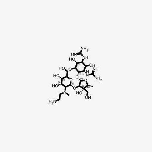 C[C@@H]1O[C@@H](O[C@@H]2C(O)[C@@H](O)C(NC(=N)N)C(O)[C@@H]2NC(=N)N)C(O[C@@H]2OC(CO)[C@H](O)[C@H](O)C2N(C)CCN)[C@]1(O)CO